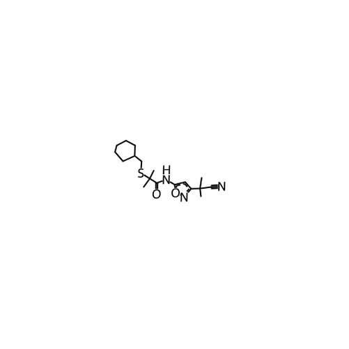 CC(C)(SCC1CCCCC1)C(=O)Nc1cc(C(C)(C)C#N)no1